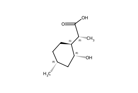 C[C@@H]1CC[C@@H]([C@@H](C)C(=O)O)[C@H](O)C1